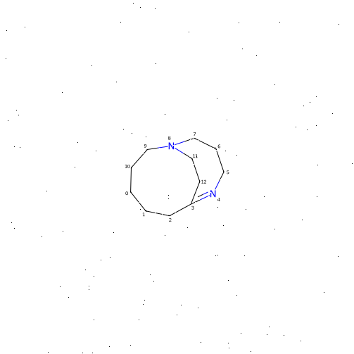 C1CCC2=NCCCN(CC1)CC2